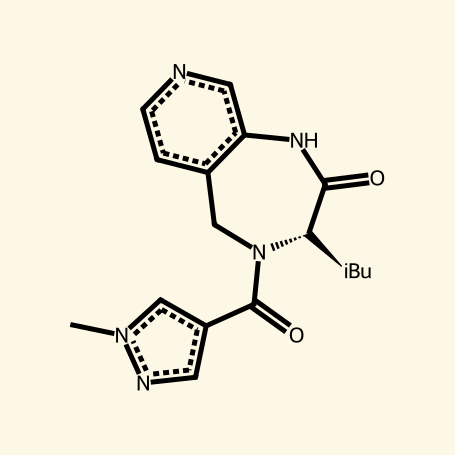 CC[C@H](C)[C@H]1C(=O)Nc2cnccc2CN1C(=O)c1cnn(C)c1